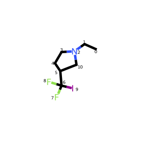 CCN1CCC(C(F)(F)I)C1